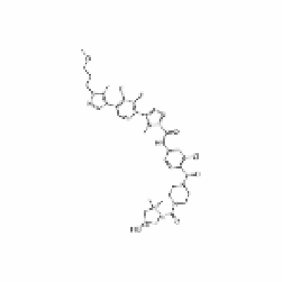 COCCCn1ncc(-c2ccc(-c3cnc(C(=O)Nc4ccc(C(=O)N5CCN(C(=O)[C@@H]6C[C@@H](O)C[N+]6(C)C)CC5)c(Cl)c4)n3C)c(F)c2F)c1C